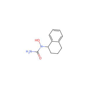 NC(=O)N(O)C1CCCc2ccccc21